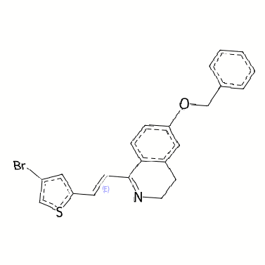 Brc1csc(/C=C/C2=NCCc3cc(OCc4ccccc4)ccc32)c1